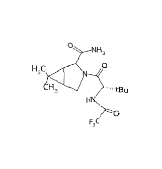 CC1(C)C2CN(C(=O)[C@@H](NC(=O)C(F)(F)F)C(C)(C)C)C(C(N)=O)C21